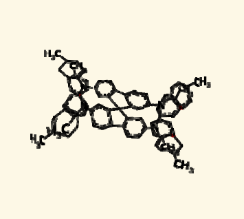 CC1=CC=C(N(c2ccc(C)cc2)c2ccc3c(c2)C2(c4cc(N(C5=CC=C(C)CC5)c5ccc(C)cc5)ccc4-3)c3cc(N(C4=CC=C(C)CC4)c4ccc(C)cc4)ccc3-c3ccc(N(c4ccc(C)cc4)c4ccc(C)cc4)cc32)CC1